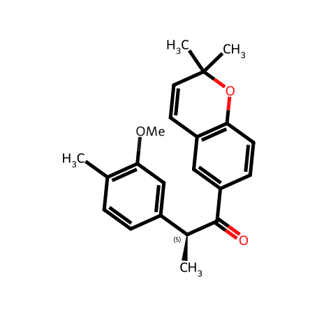 COc1cc([C@H](C)C(=O)c2ccc3c(c2)C=CC(C)(C)O3)ccc1C